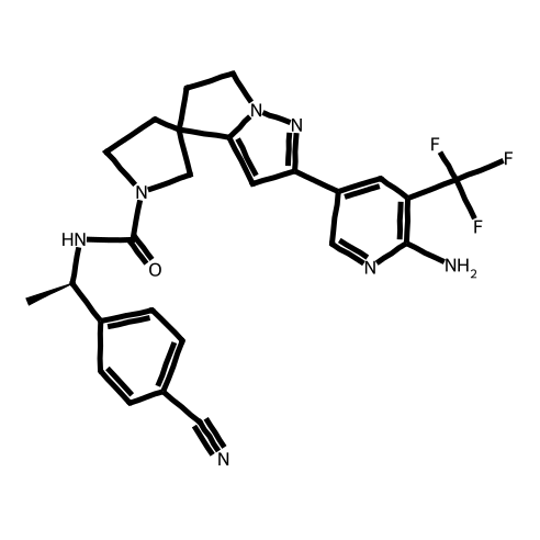 C[C@@H](NC(=O)N1CCC2(CCn3nc(-c4cnc(N)c(C(F)(F)F)c4)cc32)C1)c1ccc(C#N)cc1